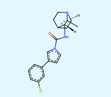 C[C@H]1[C@H](NC(=O)n2ccc(-c3cccc(Cl)c3)c2)C2CCN1CC2